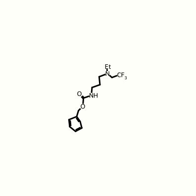 CCN(CCCNC(=O)OCc1ccccc1)CC(F)(F)F